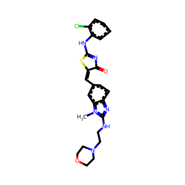 Cn1c(NCCN2CCOCC2)nc2ccc(C=C3SC(Nc4ccccc4Cl)=NC3=O)cc21